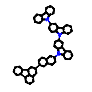 c1ccc2c(c1)-c1cccc3cc(-c4ccc5cc(-n6c7ccccc7c7cc(-n8c9ccccc9c9cc(-n%10c%11ccccc%11c%11ccccc%11%10)ccc98)ccc76)ccc5c4)cc-2c13